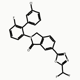 O=C1c2cc(-c3nnc(C(F)F)o3)ccc2CN1c1cccc(F)c1-c1cccc(Cl)c1